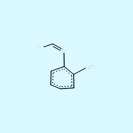 CNc1ccccc1/N=C\C(C)(C)C